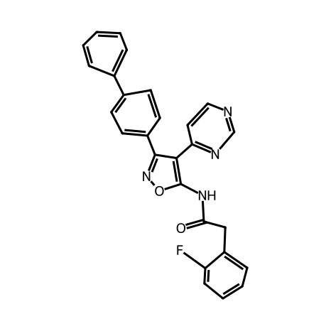 O=C(Cc1ccccc1F)Nc1onc(-c2ccc(-c3ccccc3)cc2)c1-c1ccncn1